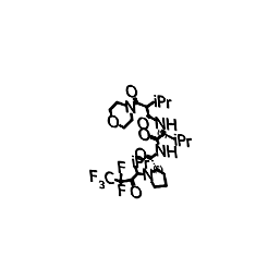 CC(C)C(C(=O)N[C@H](C(=O)NC(=O)[C@@H]1CCCN1C(C(=O)C(F)(F)C(F)(F)F)C(C)C)C(C)C)C(=O)N1CCOCC1